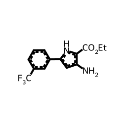 CCOC(=O)c1[nH]c(-c2cccc(C(F)(F)F)c2)cc1N